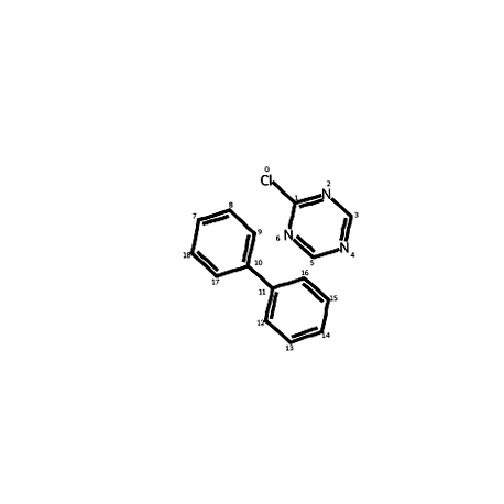 Clc1ncncn1.c1ccc(-c2ccccc2)cc1